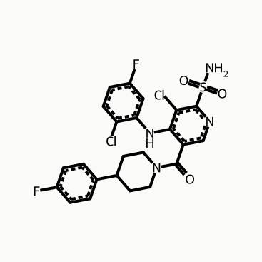 NS(=O)(=O)c1ncc(C(=O)N2CCC(c3ccc(F)cc3)CC2)c(Nc2cc(F)ccc2Cl)c1Cl